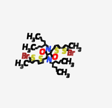 CCCCC(CCCC)CN1C(=O)C2=C(c3ccc(-c4cc(C)c(Br)s4)s3)N(CC(CCCC)CCCC)C(=O)C2=C1c1ccc(-c2cc(C)c(Br)s2)s1